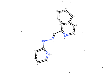 C(=NNc1ccccn1)c1nccc2ccccc12